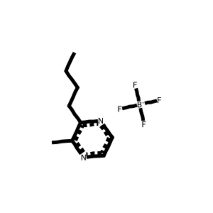 CCCCc1nccnc1C.F[B-](F)(F)F